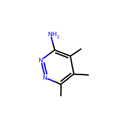 Cc1nnc(N)c(C)c1C